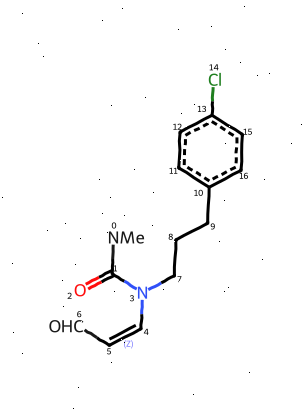 CNC(=O)N(/C=C\C=O)CCCc1ccc(Cl)cc1